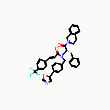 O=C([C@H](Cc1ccccc1)N(Cc1ccc(-c2cnco2)cc1)C(=O)C=Cc1ccc(C(F)(F)F)cc1)N1CCc2ccccc2C1